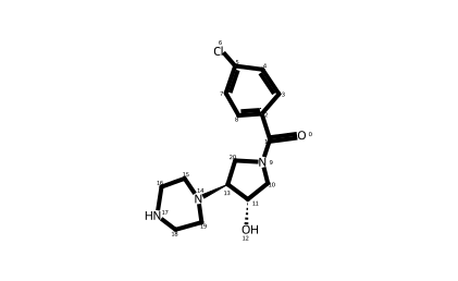 O=C(c1ccc(Cl)cc1)N1C[C@H](O)[C@@H](N2CCNCC2)C1